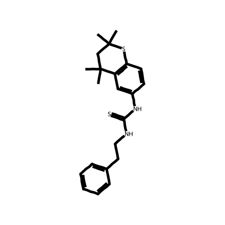 CC1(C)CC(C)(C)c2cc(NC(=S)NCCc3ccccc3)ccc2S1